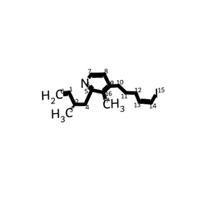 C=C[C@H](C)Cc1nccc(CCC/C=C\I)c1C